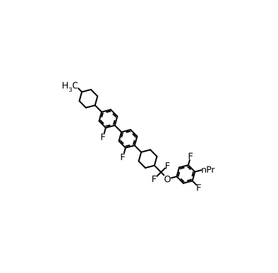 CCCc1c(F)cc(OC(F)(F)C2CCC(c3ccc(-c4ccc(C5CCC(C)CC5)cc4F)cc3F)CC2)cc1F